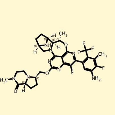 Cc1c(F)c(N)cc(-c2nc3c4c(nc(OC[C@H]5CC[C@@H]6C(=O)N(C)CCN56)nc4c2F)N2C[C@H]4CC[C@H](N4)[C@H]2[C@H](C)O3)c1C(F)(F)F